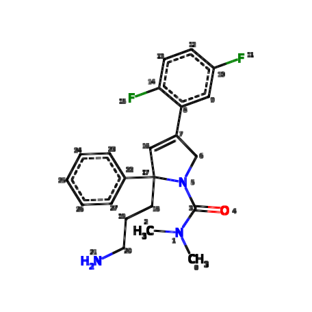 CN(C)C(=O)N1CC(c2cc(F)ccc2F)=CC1(CCCN)c1ccccc1